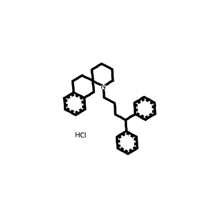 Cl.c1ccc(C(CCCN2CCCCC23CCc2ccccc2C3)c2ccccc2)cc1